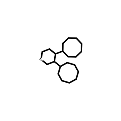 C1CCCC(C2CC[N]CC2C2CCCCCCC2)CCC1